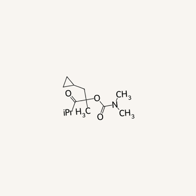 CC(C)C(=O)C(C)(CC1CC1)OC(=O)N(C)C